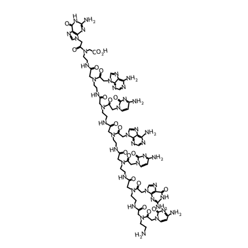 NCCN(CC(=O)NCCN(CC(=O)NCCN(CC(=O)NCCN(CC(=O)NCCN(CC(=O)NCCN(CC(=O)NCCN(CC(=O)O)C(=O)Cn1cnc2c(=O)[nH]c(N)nc21)C(=O)Cn1cnc2c(N)ncnc21)C(=O)Cn1ccc(N)nc1=O)C(=O)Cn1cnc2c(N)ncnc21)C(=O)Cn1ccc(N)nc1=O)C(=O)Cn1cnc2c(=O)[nH]c(N)nc21)C(=O)Cn1ccc(N)nc1=O